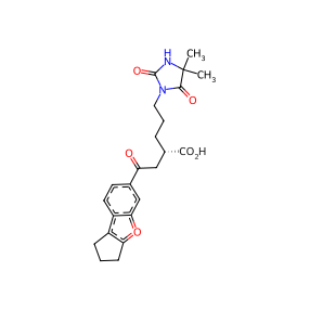 CC1(C)NC(=O)N(CCC[C@@H](CC(=O)c2ccc3c4c(oc3c2)CCC4)C(=O)O)C1=O